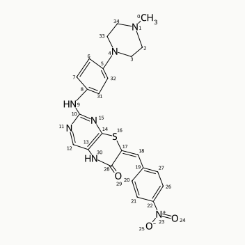 CN1CCN(c2ccc(Nc3ncc4c(n3)S/C(=C/c3ccc([N+](=O)[O-])cc3)C(=O)N4)cc2)CC1